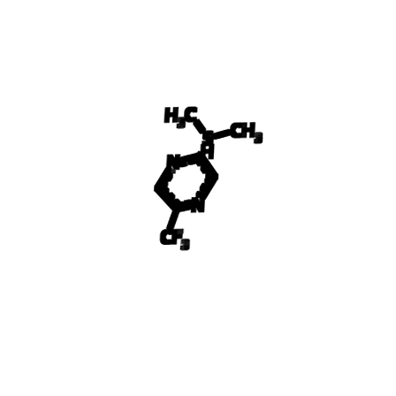 C[SH](C)c1cnc(C(F)(F)F)cn1